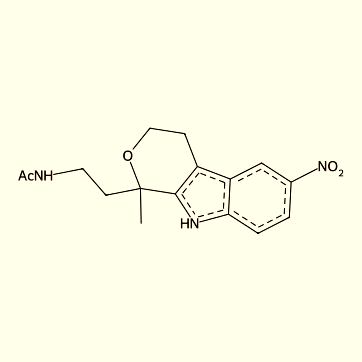 CC(=O)NCCC1(C)OCCc2c1[nH]c1ccc([N+](=O)[O-])cc21